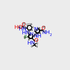 CC(C)(C)NC(=O)c1cc(F)c(NC2CCCCC2NC(=O)O)nc1Nc1cncc(C(N)=O)c1